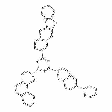 c1ccc(-c2ccc3cc(-c4nc(-c5ccc6cc7c(cc6c5)oc5ccccc57)nc(-c5ccc6ccc7ccccc7c6c5)n4)ccc3c2)cc1